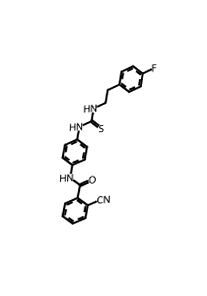 N#Cc1ccccc1C(=O)Nc1ccc(NC(=S)NCCc2ccc(F)cc2)cc1